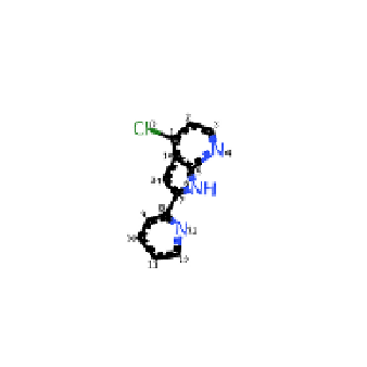 Clc1ccnc2[nH]c(-c3ccccn3)cc12